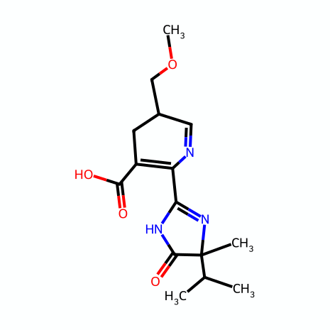 COCC1C=NC(C2=NC(C)(C(C)C)C(=O)N2)=C(C(=O)O)C1